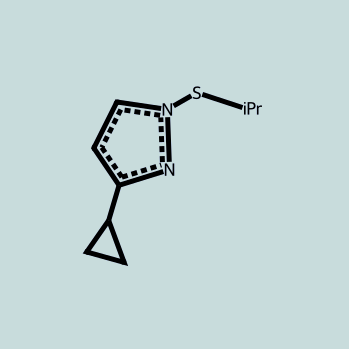 CC(C)Sn1ccc(C2CC2)n1